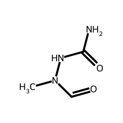 CN(C=O)NC(N)=O